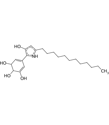 CCCCCCCCCCCCc1cc(O)c(C2=CC(O)C(O)C(O)=C2)[nH]1